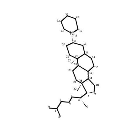 CC(C)CCC[C@@H](C)[C@H]1CCC2C3CCC4C[C@@H](N5CCCCC5)CC[C@]4(C)C3CC[C@@]21C